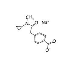 CN(C(=O)Cc1ccc(C(=O)[O-])cc1)C1CC1.[Na+]